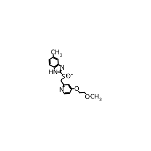 COCCOc1ccnc(C[S+]([O-])c2nc3cc(C)ccc3[nH]2)c1